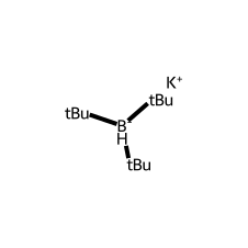 CC(C)(C)[BH-](C(C)(C)C)C(C)(C)C.[K+]